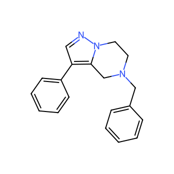 c1ccc(CN2CCn3ncc(-c4ccccc4)c3C2)cc1